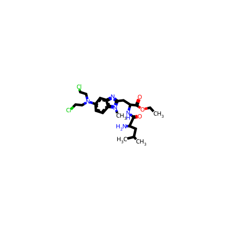 CCOC(=O)C(Cc1nc2cc(N(CCCl)CCCl)ccc2n1C)NC(=O)C(N)CC(C)C